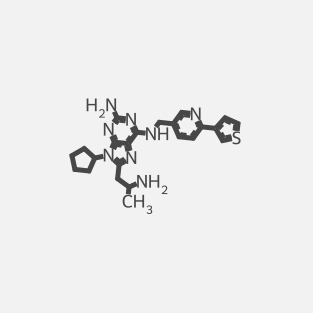 CC(N)Cc1nc2c(NCc3ccc(-c4ccsc4)nc3)nc(N)nc2n1C1CCCC1